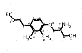 CCOCCc1ccc(OCC(N)CO)c(C)c1C